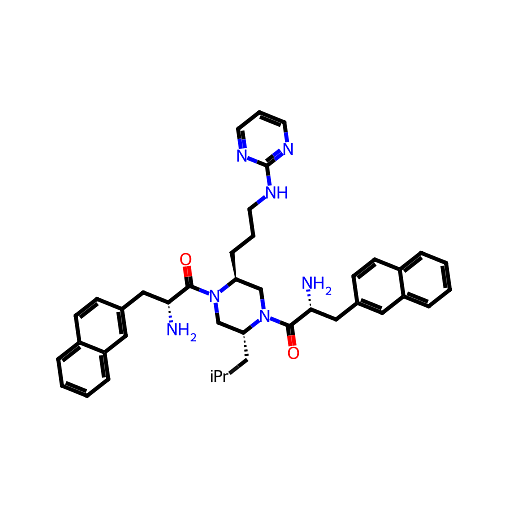 CC(C)C[C@@H]1CN(C(=O)[C@H](N)Cc2ccc3ccccc3c2)[C@@H](CCCNc2ncccn2)CN1C(=O)[C@H](N)Cc1ccc2ccccc2c1